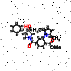 COC(=O)c1ccc(C(=O)N2C[C@H](c3ccccc3)[C@@H](O)C2)cc1-n1c(C)ccc1C